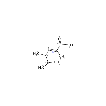 C/C(=C\C(C)N(C)C)C(=O)O